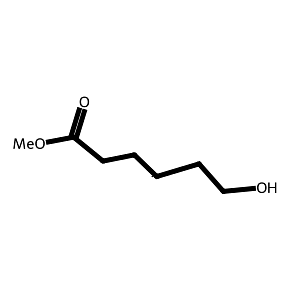 COC(=O)CC[CH]CCO